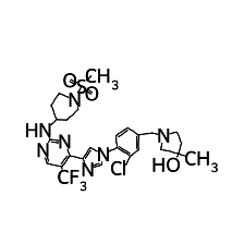 CC1(O)CCN(Cc2ccc(-n3cnc(-c4nc(NC5CCN(S(C)(=O)=O)CC5)ncc4C(F)(F)F)c3)c(Cl)c2)C1